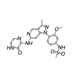 COc1cc(NS(C)(=O)=O)ccc1-n1nc(C)c2cnc(Nc3ncc[nH]c3=O)cc21